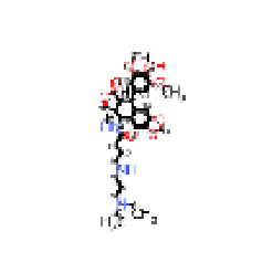 CCN(CC)CCCNCCCC(=O)N[C@@H]1c2cc3c(cc2C(c2cc(OC)c(O)c(OC)c2)[C@H]2C(=O)OC[C@H]12)OCO3